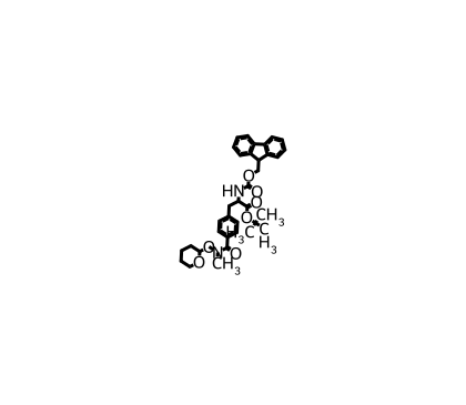 CN(OC1CCCCO1)C(=O)c1ccc(CC(NC(=O)OCC2c3ccccc3-c3ccccc32)C(=O)OC(C)(C)C)cc1